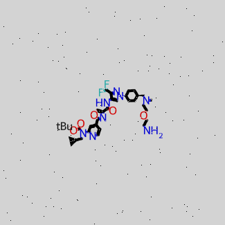 CN(CCOCCN)C[C@H]1CC[C@H](n2cc(NC(=O)c3coc(-c4ccnc(N(CC5CC5)C(=O)OC(C)(C)C)c4)n3)c(C(F)F)n2)CC1